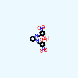 O=[N+]([O-])c1ccc(O)c(C=NC2CCCCC2N=Cc2cc([N+](=O)[O-])ccc2O)c1